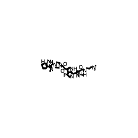 C=NN(/C(=N\N)N1CCN(C(=O)C(=O)c2c[nH]c3c(-c4cc(C(=O)NCCCN(C)C)n(C)n4)ncc(F)c23)CC1)c1ccccc1